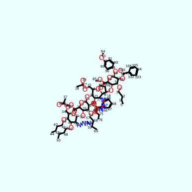 CCCCOC1[C@@H](O[C@](C)(CC)[C@@H]2OC(COC(C)=O)[C@@H](O[C@@H]3OC(C(=O)OC)[C@H](O[C@H]4OC(COC(C)=O)[C@@H](OCCCC)[C@H](OCCCC)C4N=[N+]=[N-])C(OCCCC)[C@@H]3OC(=O)c3ccccc3)[C@H](OCCCC)C2N=[N+]=[N-])C(C(=O)OC)O[C@@H](Oc2ccc(OC)cc2)[C@H]1OC(=O)c1ccccc1